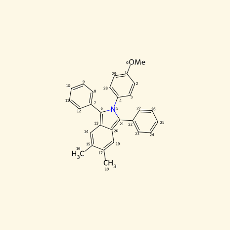 COc1ccc(-n2c(-c3ccccc3)c3cc(C)c(C)cc3c2-c2ccccc2)cc1